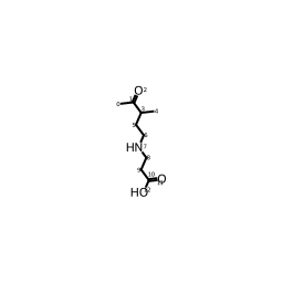 CC(=O)C(C)CCNCCC(=O)O